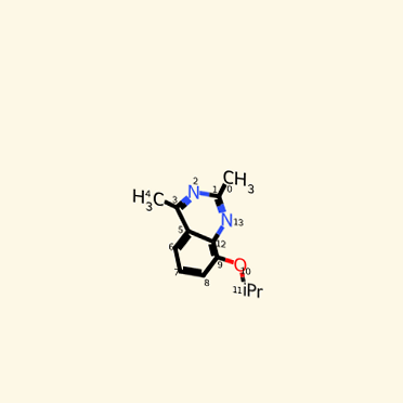 Cc1nc(C)c2cccc(OC(C)C)c2n1